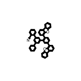 N#Cc1ccccc1-c1cc(-c2ccccc2)cc(-c2cc(-c3cccc4c3oc3ccccc34)ccc2-c2cccc3c2oc2ccccc23)c1